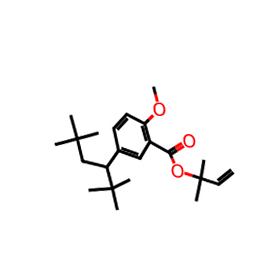 C=CC(C)(C)OC(=O)c1cc(C(CC(C)(C)C)C(C)(C)C)ccc1OC